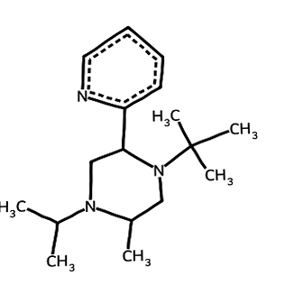 CC(C)N1CC(c2ccccn2)N(C(C)(C)C)CC1C